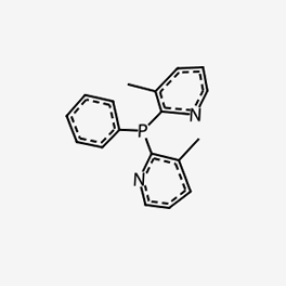 Cc1cccnc1P(c1ccccc1)c1ncccc1C